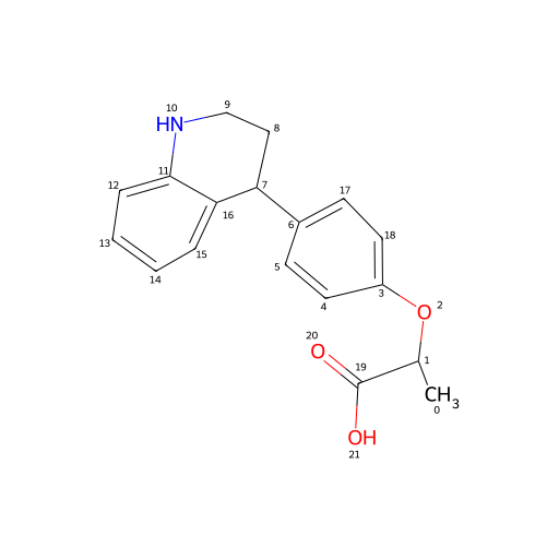 CC(Oc1ccc(C2CCNc3ccccc32)cc1)C(=O)O